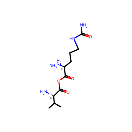 CC(C)[C@H](N)C(=O)OC(=O)[C@@H](N)CCCNC(N)=O.N